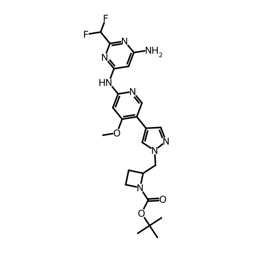 COc1cc(Nc2cc(N)nc(C(F)F)n2)ncc1-c1cnn(CC2CCN2C(=O)OC(C)(C)C)c1